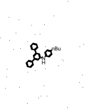 CCCCc1ccc(Nc2cc(-c3ccccc3)cc(-c3ccccc3)c2)cc1